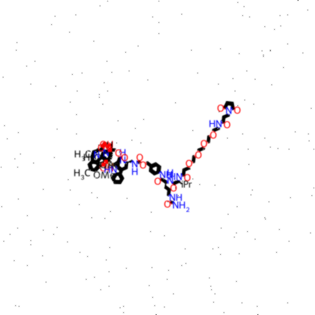 COc1c(C)cc2c(c1O)[C@@H]1C3[C@@H]4SC[C@]5(N[C@@H](CNC(=O)OCc6ccc(NC(=O)[C@H](CCCNC(N)=O)NC(=O)[C@@H](NC(=O)CCOCCOCCOCCOCCNC(=O)CCN7C(=O)C=CC7=O)C(C)C)cc6)Cc6c5[nH]c5ccccc65)C(=O)OC[C@@H](c5c6c(c(C)c(OC(C)=O)c54)OCO6)N3C3(O)CN1C2(C)C3